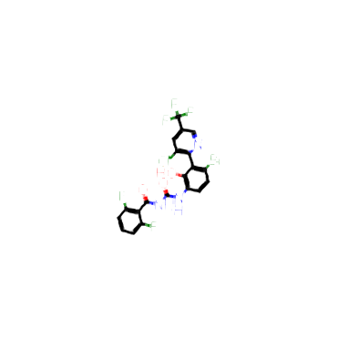 O=C(NC(=O)c1c(F)cccc1F)Nc1ccc(Br)c(-c2ncc(C(F)(F)F)cc2Cl)c1O